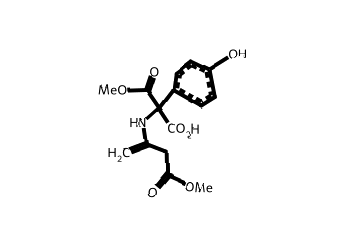 C=C(CC(=O)OC)NC(C(=O)O)(C(=O)OC)c1ccc(O)cc1